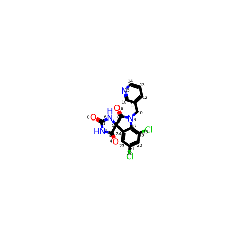 O=C1NC(=O)C2(N1)C(=O)N(Cc1cccnc1)c1c(Cl)cc(Cl)cc12